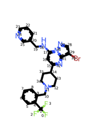 FC(F)(F)c1ccccc1CN1CCC(c2cc(NCc3cccnc3)n3ncc(Br)c3n2)CC1